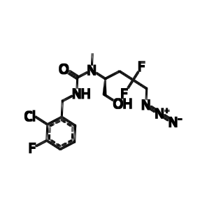 CN(C(=O)NCc1cccc(F)c1Cl)[C@H](CO)CC(F)(F)CN=[N+]=[N-]